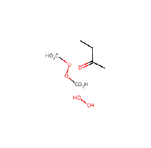 CCC(C)=O.O=C(O)OOC(=O)O.OO